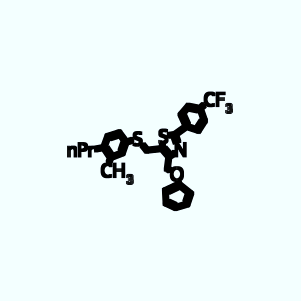 CCCc1ccc(SCc2sc(-c3ccc(C(F)(F)F)cc3)nc2COc2ccccc2)cc1C